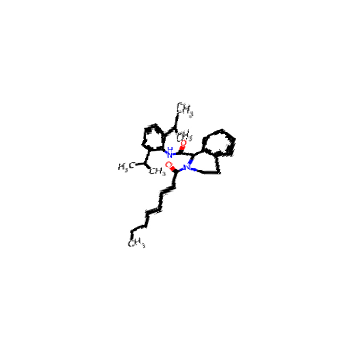 CCCCCCCC(=O)N1CCc2ccccc2C1C(=O)Nc1c(C(C)C)cccc1C(C)C